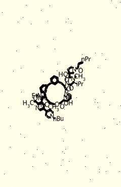 CCC/C=C/C(=O)N1CCC(O)(C(=O)N(C)[C@H](C(=O)N[C@H]2Cc3cccc(c3)-c3ccc4c(c3)c(c(-c3cc(C5=CCN(CCCC)CC5)cnc3[C@H](C)OC)n4CC)CC(C)(C)COC(=O)[C@@]3(O)CCCN(N3)C2=O)C(C)C)C1